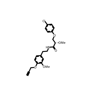 C#CCOc1ccc(CCNC(=O)[C@H](COc2ccc(Cl)cc2)OC)cc1OC